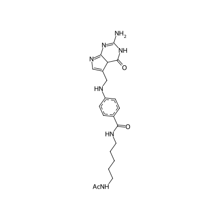 CC(=O)NCCCCCNC(=O)c1ccc(NCC2=CN=C3N=C(N)NC(=O)C23)cc1